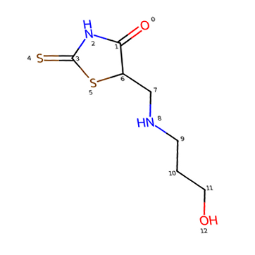 O=C1NC(=S)SC1CNCCCO